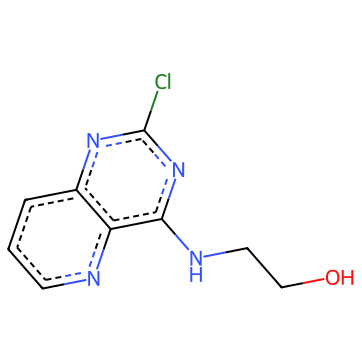 OCCNc1nc(Cl)nc2cccnc12